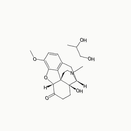 CC(O)CO.COc1ccc2c3c1O[C@H]1C(=O)CC[C@@]4(O)[C@@H](C2)N(C)CC[C@]314